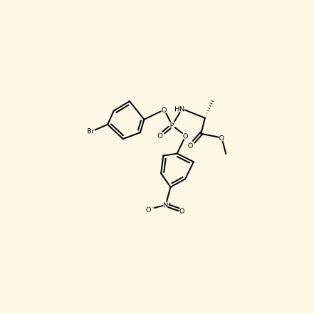 COC(=O)[C@@H](C)NP(=O)(Oc1ccc(Br)cc1)Oc1ccc([N+](=O)[O-])cc1